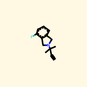 C#CC(C)(C)N1Cc2cccc(F)c2C1